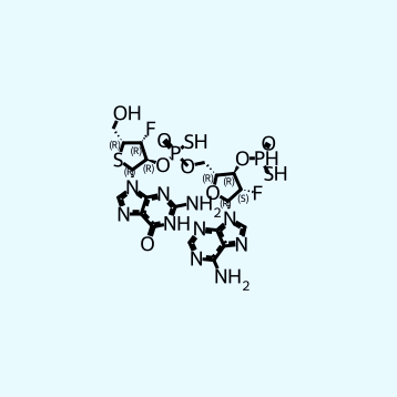 Nc1nc2c(ncn2[C@@H]2S[C@H](CO)[C@H](F)[C@H]2OP(=O)(S)OC[C@H]2O[C@@H](n3cnc4c(N)ncnc43)[C@@H](F)[C@@H]2O[PH](=O)S)c(=O)[nH]1